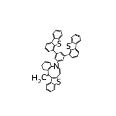 C=C1C2=C(C=CCC2)N(c2cc(-c3cccc4c3sc3ccccc34)cc(-c3cccc4c3sc3ccccc34)c2)/C=C\c2sc3ccccc3c21